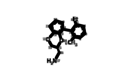 CCc1cccc(C)c1-c1cccc2c1O[C@@H](CN)CO2